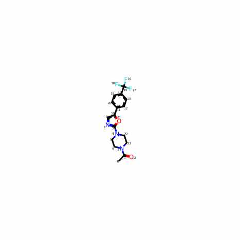 CC(=O)N1CCN(c2ncc(-c3ccc(C(F)(F)F)cc3)o2)CC1